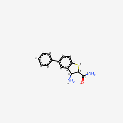 NC(=O)C1Sc2ccc(-c3ccccc3)cc2C1N